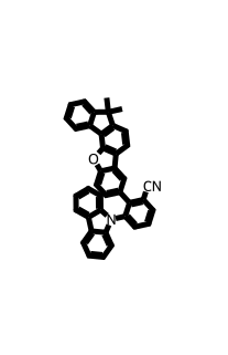 CC1(C)c2ccccc2-c2c1ccc1c2oc2ccc(-c3c(C#N)cccc3-n3c4ccccc4c4ccccc43)cc21